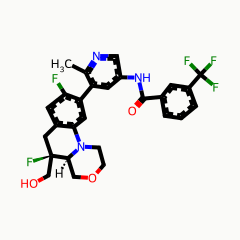 Cc1ncc(NC(=O)c2cccc(C(F)(F)F)c2)cc1-c1cc2c(cc1F)C[C@@](F)(CO)[C@@H]1COCCN21